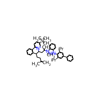 C=C(C)CCC1c2ccccc2-c2ccc([Si](C)(C)C)c[n+]2C1CC(=C)N(C)c1ccccc1Nc1c(C(C)C)cc(-c2ccccc2)cc1C(C)C